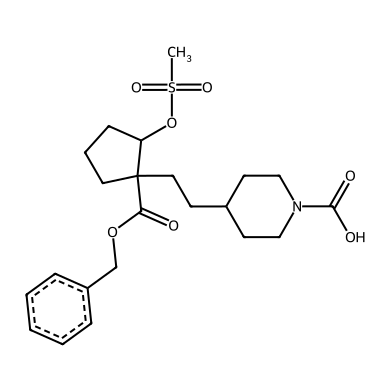 CS(=O)(=O)OC1CCCC1(CCC1CCN(C(=O)O)CC1)C(=O)OCc1ccccc1